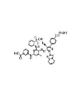 Cc1cc(Nc2cccc(C(=O)O)c2)nc(Nc2ccccc2S(=O)(=O)O)c1N=Nc1c(C#N)c(-c2ccc(SOOO)cc2)nn1-c1nc2ccccc2s1